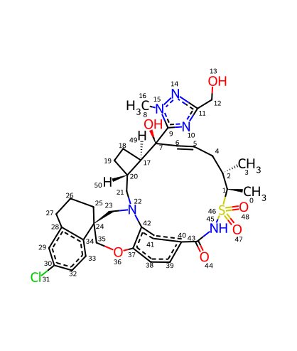 C[C@@H]1[C@@H](C)C/C=C/[C@@](O)(c2nc(CO)nn2C)[C@@H]2CC[C@H]2CN2C[C@@]3(CCCc4cc(Cl)ccc43)COc3ccc(cc32)C(=O)NS1(=O)=O